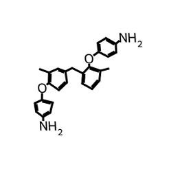 Cc1cc(Cc2cccc(C)c2Oc2ccc(N)cc2)ccc1Oc1ccc(N)cc1